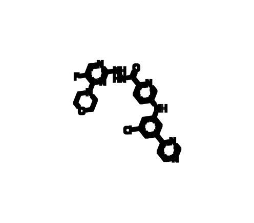 O=C(NNc1ncc(F)c(N2CCOCC2)n1)c1ccc(Nc2cc(Cl)cc(-c3ccncn3)c2)cn1